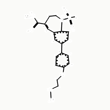 CCOCCOc1ccc(-c2ccc3c(c2)C=C(C(=O)OC)CCN3S(C)(=O)=O)cc1